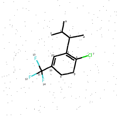 CC(C)C(C)C1=C(Cl)CCC(C(F)(F)F)=C1